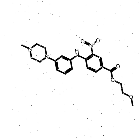 COCCOC(=O)c1ccc(Nc2cccc(N3CCN(C)CC3)c2)c([N+](=O)[O-])c1